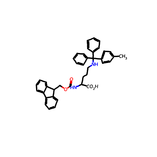 Cc1ccc(C(NCCCC(NC(=O)OCC2c3ccccc3-c3ccccc32)C(=O)O)(c2ccccc2)c2ccccc2)cc1